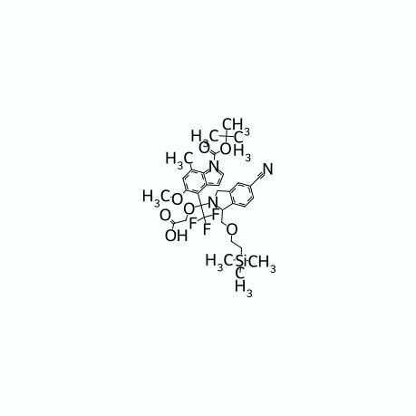 COc1cc(C)c2c(ccn2C(=O)OC(C)(C)C)c1C(OCC(=O)O)(N1Cc2cc(C#N)ccc2C1COCC[Si](C)(C)C)C(F)(F)F